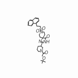 CC(C)(C)OCC(=O)N1CCCC(C2=NC3(CCN(S(=O)(=O)CCc4cccc5ccccc45)CC3)C(=O)N2)C1